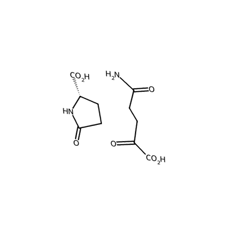 NC(=O)CCC(=O)C(=O)O.O=C1CC[C@@H](C(=O)O)N1